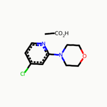 CC(=O)O.Clc1ccnc(N2CCOCC2)c1